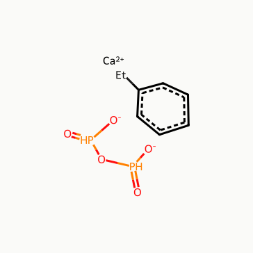 CCc1ccccc1.O=[PH]([O-])O[PH](=O)[O-].[Ca+2]